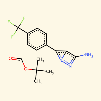 CC(C)(C)OC=O.Nc1nn2c(-c3ccc(C(F)(F)F)cc3)c1-2